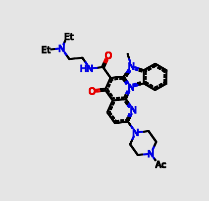 CCN(CC)CCNC(=O)c1c(=O)c2ccc(N3CCN(C(C)=O)CC3)nc2n2c3ccccc3n(C)c12